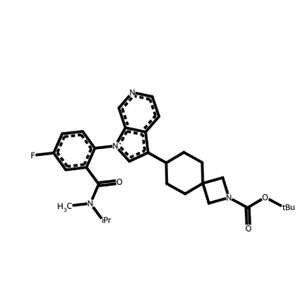 CC(C)N(C)C(=O)c1cc(F)ccc1-n1cc(C2CCC3(CC2)CN(C(=O)OC(C)(C)C)C3)c2ccncc21